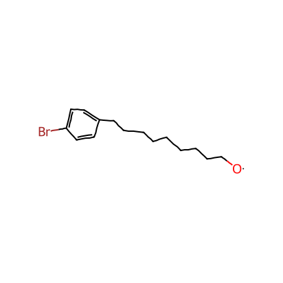 [O]CCCCCCCCCc1ccc(Br)cc1